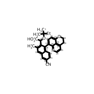 CCC(C)(C)OC(C(=O)O)c1c(C)cc2cc(C#N)ccc2c1-c1ccc2c3c(ccnc13)CCO2